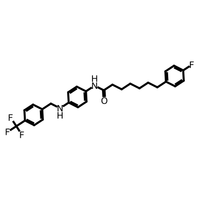 O=C(CCCCCCc1ccc(F)cc1)Nc1ccc(NCc2ccc(C(F)(F)F)cc2)cc1